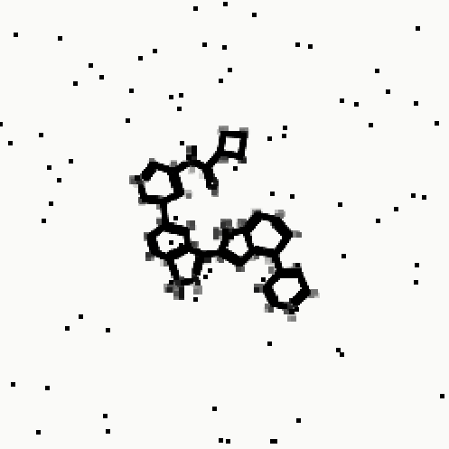 O=C(Nc1cncc(-c2ccc3[nH]nc(-c4cc5c(-c6ccncc6)cccc5[nH]4)c3c2)c1)C1CCC1